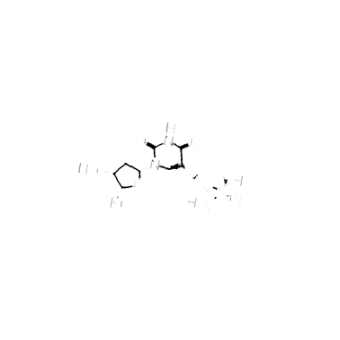 CC[C@H]1O[C@@H](n2cc([13C]#[13C][Si](C)(C)C)c(=O)[nH]c2=O)C[C@H]1C